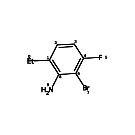 CCc1ccc(F)c(Br)c1N